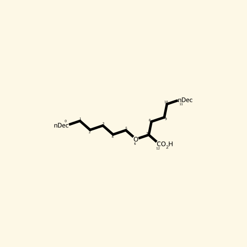 CCCCCCCCCCCCCCCOC(CCCCCCCCCCCCC)C(=O)O